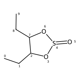 CCC1OS(=O)OC1CC